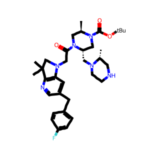 C[C@@H]1CNCCN1C[C@H]1CN(C(=O)OC(C)(C)C)[C@H](C)CN1C(=O)CN1CC(C)(C)c2ncc(Cc3ccc(F)cc3)cc21